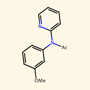 COc1cccc(N(C(C)=O)c2ccccn2)c1